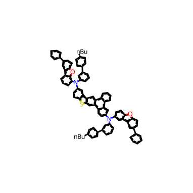 CCCCc1ccc(-c2cccc(N(c3ccc4oc5ccc(-c6ccccc6)cc5c4c3)c3ccc4c(c3)c3ccccc3c3cc5c(cc43)sc3ccc(N(c4cccc(-c6ccc(CCCC)cc6)c4)c4cccc6c4oc4ccc(-c7ccccc7)cc46)cc35)c2)cc1